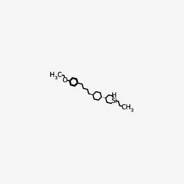 CCC[SiH]1CCC([C@H]2CC[C@H](CCCCc3ccc(OCC)cc3)CC2)CC1